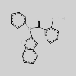 O=C(O)c1cccnc1C(=O)N(c1ccccc1)c1cc2ccccc2[nH]1